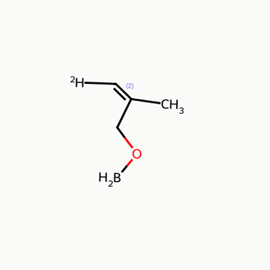 [2H]/C=C(/C)COB